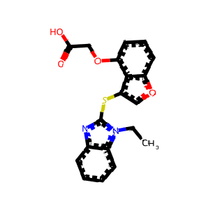 CCn1c(Sc2coc3cccc(OCC(=O)O)c23)nc2ccccc21